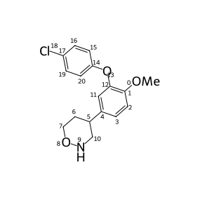 COc1ccc(C2CCONC2)cc1Oc1ccc(Cl)cc1